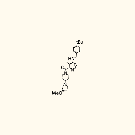 CO[C@@H]1CCN(C2CCN(C(=O)c3ncnc(NCc4ccc(C(C)(C)C)cc4)c3C)CC2)C1